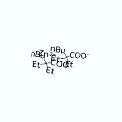 CCCCC(CC)(CC)C(=O)[O-].CCCCC(CC)(CC)C(=O)[O-].[Zn+2]